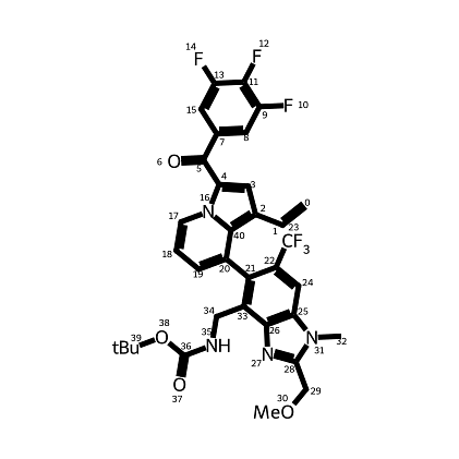 C=Cc1cc(C(=O)c2cc(F)c(F)c(F)c2)n2cccc(-c3c(C(F)(F)F)cc4c(nc(COC)n4C)c3CNC(=O)OC(C)(C)C)c12